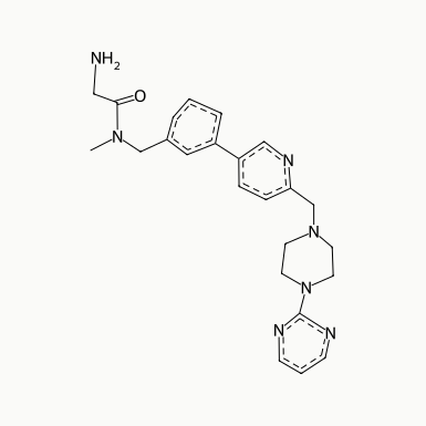 CN(Cc1cccc(-c2ccc(CN3CCN(c4ncccn4)CC3)nc2)c1)C(=O)CN